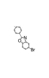 Brc1ccc2oc(-c3cc[c]cc3)nc2c1